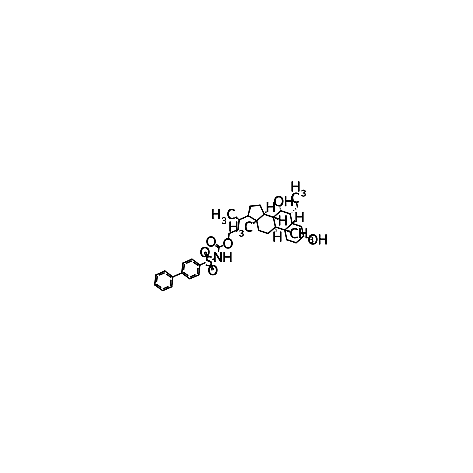 CC[C@H]1[C@@H](O)[C@@H]2[C@H](CC[C@]3(C)[C@@H]([C@H](C)CCOC(=O)NS(=O)(=O)c4ccc(-c5ccccc5)cc4)CC[C@@H]23)[C@@]2(C)CC[C@@H](O)C[C@@H]12